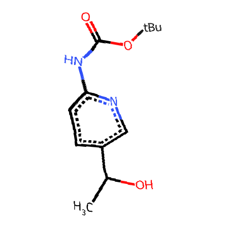 CC(O)c1ccc(NC(=O)OC(C)(C)C)nc1